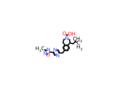 Cc1noc(-c2cnc(Cc3ccc4c(c3)CCN(C(=O)O)CC4CC(C)C)cn2)n1